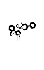 C[C@H]1C[C@@H](c2ccccc2)CCN1C(=O)[C@@H]1CNC[C@H]1c1ccccc1Br